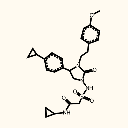 COc1ccc(CCN2C(=O)N(NS(=O)(=O)CC(=O)NC3CC3)CC2c2ccc(C3CC3)cc2)cc1